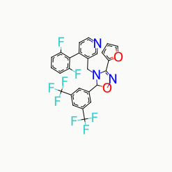 Fc1cccc(F)c1-c1ccncc1CN1C(c2ccco2)=NOC1c1cc(C(F)(F)F)cc(C(F)(F)F)c1